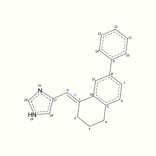 C(=C1/CCCc2ccc(-c3ccccc3)cc21)/c1c[nH]cn1